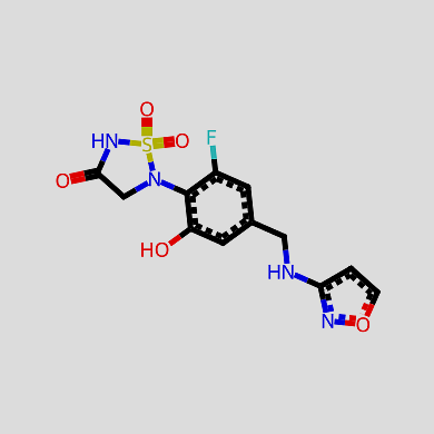 O=C1CN(c2c(O)cc(CNc3ccon3)cc2F)S(=O)(=O)N1